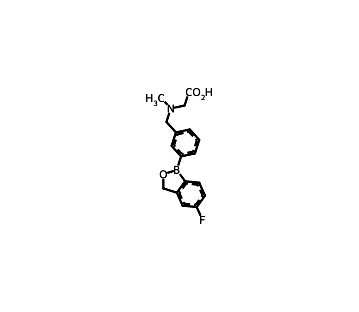 CN(CC(=O)O)Cc1cccc(B2OCc3cc(F)ccc32)c1